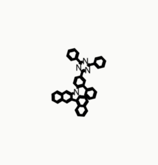 c1ccc(-c2nc(-c3ccccc3)nc(-c3ccc(-n4c5cc6ccccc6cc5c5c6ccccc6ccc54)c(-c4ccccc4)c3)n2)cc1